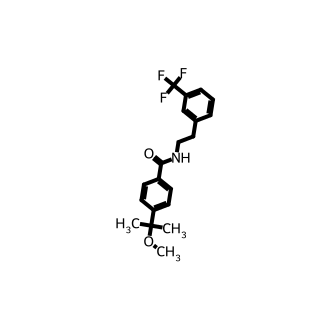 COC(C)(C)c1ccc(C(=O)NCCc2cccc(C(F)(F)F)c2)cc1